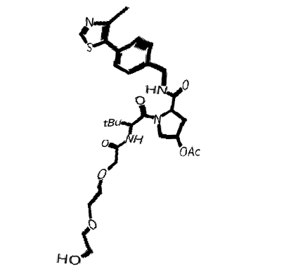 CC(=O)OC1CC(C(=O)NCc2ccc(-c3scnc3C)cc2)N(C(=O)C(NC(=O)COCCOCCO)C(C)(C)C)C1